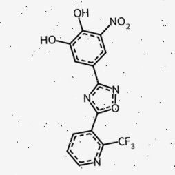 O=[N+]([O-])c1cc(-c2noc(-c3cccnc3C(F)(F)F)n2)cc(O)c1O